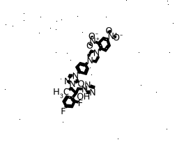 CC(n1ncn(-c2ccc(N3CCN(c4ccc([N+](=O)[O-])cc4[N+](=O)[O-])CC3)cc2)c1=O)C(O)(Cn1cncn1)c1ccc(F)cc1F